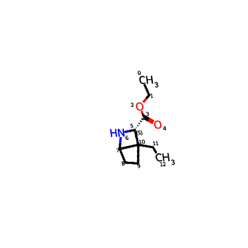 CCOC(=O)[C@H]1NC2CCC21CC